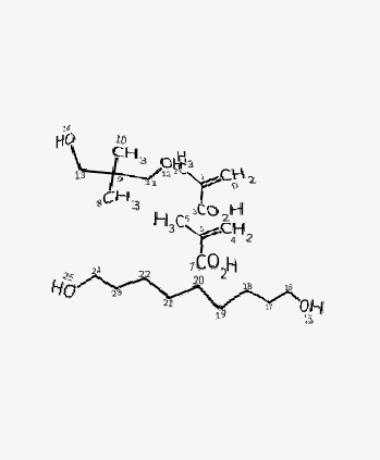 C=C(C)C(=O)O.C=C(C)C(=O)O.CC(C)(CO)CO.OCCCCCCCCCO